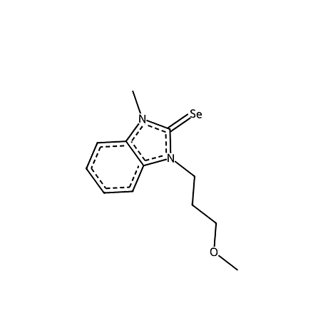 COCCCn1c(=[Se])n(C)c2ccccc21